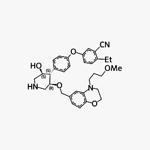 CCc1ccc(Oc2ccc([C@H]3[C@H](O)CNC[C@@H]3OCc3ccc4c(c3)N(CCCOC)CCO4)cc2)cc1C#N